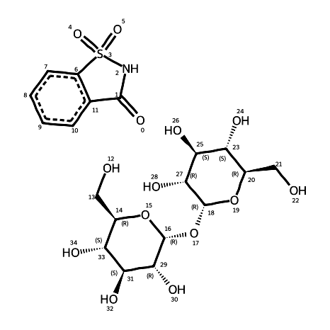 O=C1NS(=O)(=O)c2ccccc21.OC[C@H]1O[C@H](O[C@H]2O[C@H](CO)[C@@H](O)[C@H](O)[C@H]2O)[C@H](O)[C@@H](O)[C@@H]1O